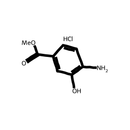 COC(=O)c1ccc(N)c(O)c1.Cl